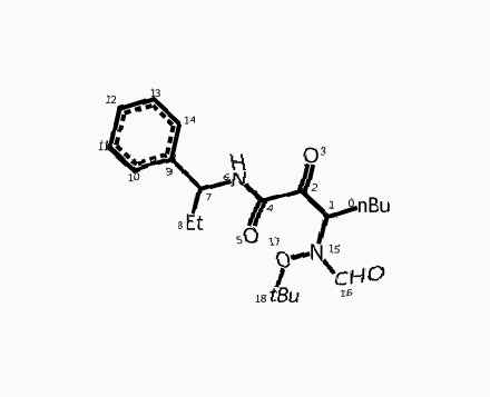 CCCCC(C(=O)C(=O)NC(CC)c1ccccc1)N(C=O)OC(C)(C)C